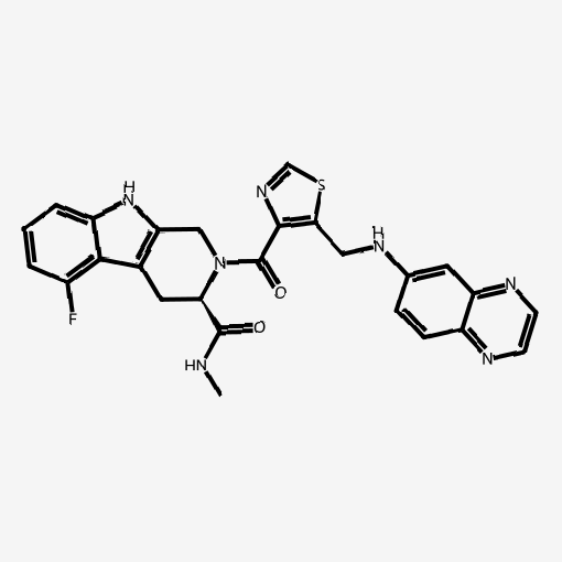 CNC(=O)[C@H]1Cc2c([nH]c3cccc(F)c23)CN1C(=O)c1ncsc1CNc1ccc2nccnc2c1